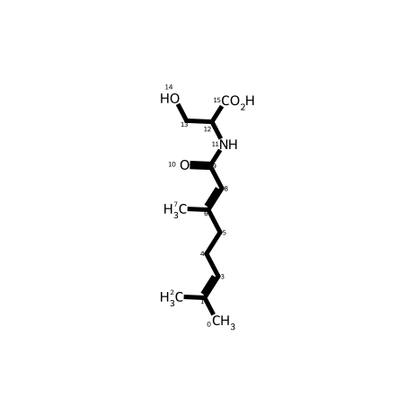 CC(C)=CCC/C(C)=C/C(=O)NC(CO)C(=O)O